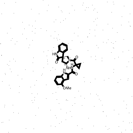 COc1cccc2[nH]c(C(=O)NC3(C(=O)N4C[C@]5(C[C@H]4N)C(=O)Nc4ccccc45)CC3)cc12